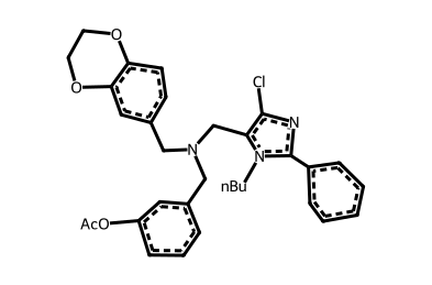 CCCCn1c(-c2ccccc2)nc(Cl)c1CN(Cc1cccc(OC(C)=O)c1)Cc1ccc2c(c1)OCCO2